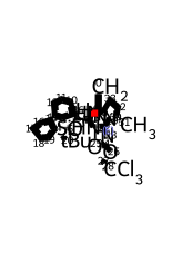 C=C1N[C@H]2[C@H](CO[Si](c3ccccc3)(c3ccccc3)C(C)(C)C)N/C(=N\C(=O)OCC(Cl)(Cl)Cl)N3[C@@H](C)C=C[C@]23N1